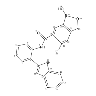 O=C(Nc1ccccc1-c1cc2ccccc2[nH]1)c1cc2c(cc1Cl)COB2O